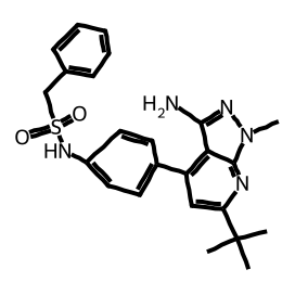 Cn1nc(N)c2c(-c3ccc(NS(=O)(=O)Cc4ccccc4)cc3)cc(C(C)(C)C)nc21